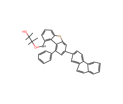 CC(C)(O)C(C)(C)OBc1cccc2sc3cc(-c4ccc5c(ccc6ccccc65)c4)cc(-c4ccccc4)c3c12